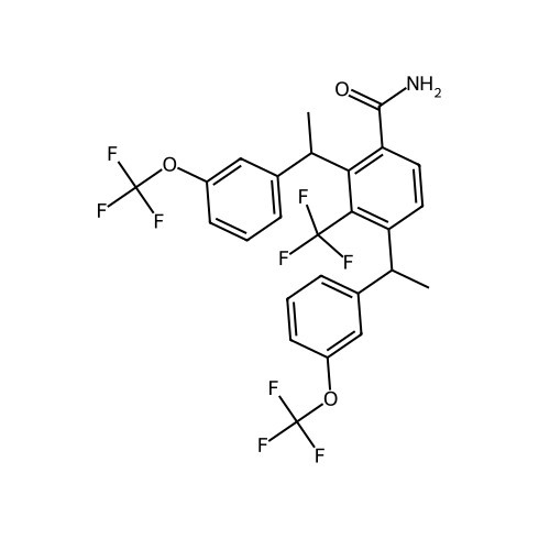 CC(c1cccc(OC(F)(F)F)c1)c1ccc(C(N)=O)c(C(C)c2cccc(OC(F)(F)F)c2)c1C(F)(F)F